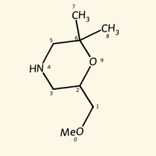 COCC1CNCC(C)(C)O1